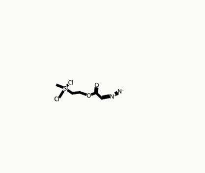 C[Si](Cl)(Cl)CCOC(=O)C=[N+]=[N-]